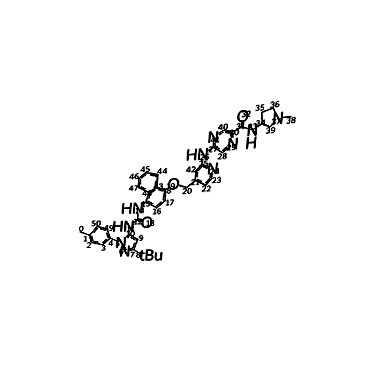 Cc1ccc(-n2nc(C(C)(C)C)cc2NC(=O)Nc2ccc(OCc3ccnc(Nc4cnc(C(=O)NC5CCN(C)C5)cn4)c3)c3ccccc23)cc1